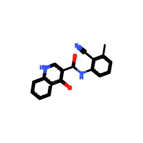 Cc1cccc(NC(=O)c2c[nH]c3ccccc3c2=O)c1C#N